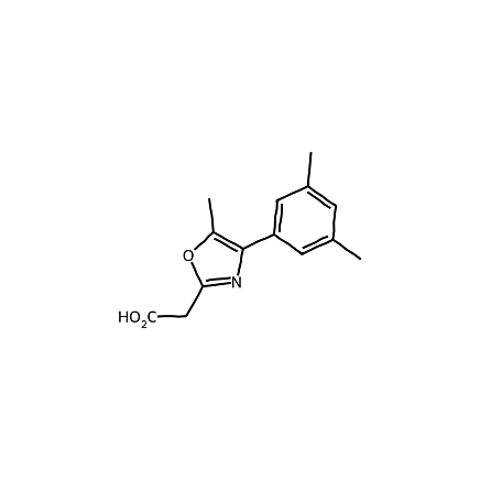 Cc1cc(C)cc(-c2nc(CC(=O)O)oc2C)c1